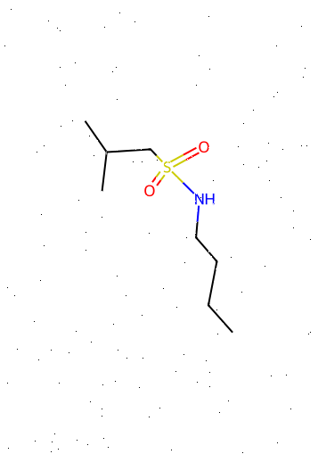 CCCCNS(=O)(=O)CC(C)C